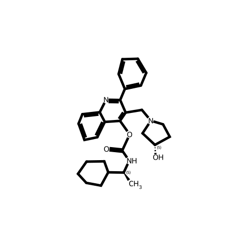 C[C@H](NC(=O)Oc1c(CN2CC[C@H](O)C2)c(-c2ccccc2)nc2ccccc12)C1CCCCC1